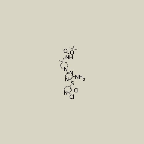 CC1(CNC(=O)OC(C)(C)C)CCN(c2cnc(Sc3ccnc(Cl)c3Cl)c(N)n2)CC1